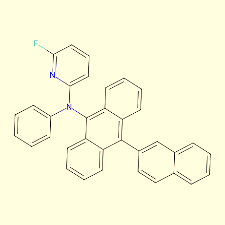 Fc1cccc(N(c2ccccc2)c2c3ccccc3c(-c3ccc4ccccc4c3)c3ccccc23)n1